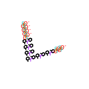 Cc1ccccc1[I+]c1ccccc1C.Cc1ccccc1[I+]c1ccccc1C.Cc1ccccc1[I+]c1ccccc1C.Cc1ccccc1[I+]c1ccccc1C.Cc1ccccc1[I+]c1ccccc1C.Cc1ccccc1[I+]c1ccccc1C.O=P([O-])(F)F.O=P([O-])(F)F.O=P([O-])(F)F.O=P([O-])(F)F.O=P([O-])(F)F.O=P([O-])(F)F